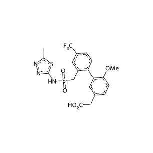 COc1ccc(CC(=O)O)cc1-c1ccc(C(F)(F)F)cc1CS(=O)(=O)Nc1nnc(C)s1